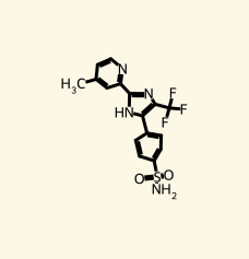 Cc1ccnc(-c2nc(C(F)(F)F)c(-c3ccc(S(N)(=O)=O)cc3)[nH]2)c1